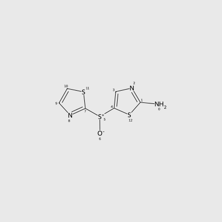 Nc1ncc([S+]([O-])c2nccs2)s1